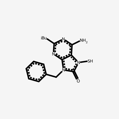 CCC(C)c1nc(N)c2c(n1)n(Cc1ccccc1)c(=O)n2S